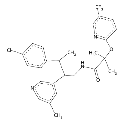 Cc1cncc(C(CNC(=O)C(C)(C)Oc2ccc(C(F)(F)F)cn2)C(C)c2ccc(Cl)cc2)c1